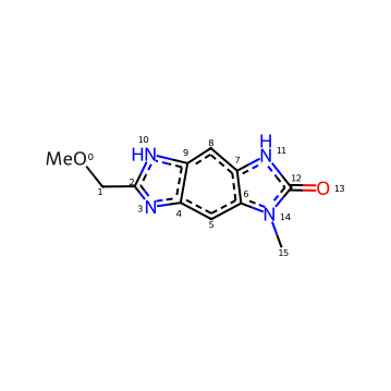 COCc1nc2cc3c(cc2[nH]1)[nH]c(=O)n3C